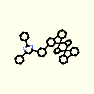 c1ccc(-c2cc(-c3cccc(-c4ccc5c(c4)C4(c6ccccc6-5)c5ccccc5C5(c6ccccc6-c6ccccc65)c5ccccc54)c3)nc(-c3ccccc3)n2)cc1